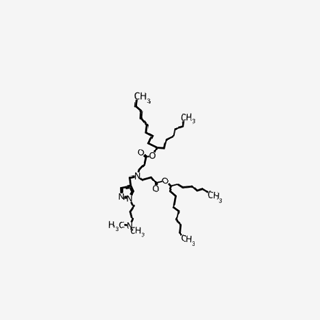 CCCCCCCCC(CCCCCC)OC(=O)CCN(CCC(=O)OC(CCCCCC)CCCCCCCC)Cc1cnn(CCCN(C)C)c1